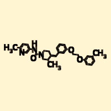 Cc1cccc(OCCOc2cccc(C=C3CCN(C(=O)Nc4ccc(C)nc4)CC3C)c2)c1